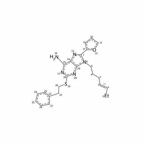 CC/C=C/CCCn1c(-c2ccco2)nc2c(N)nc(SCCc3ccccc3)nc21